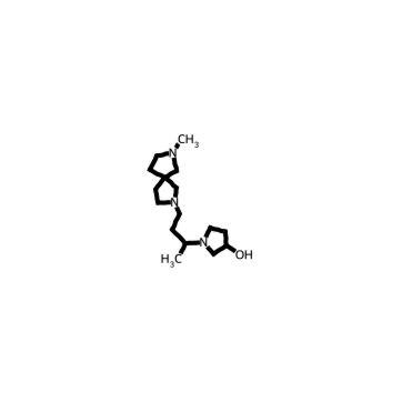 CC(CCN1CCC2(CCN(C)C2)C1)N1CCC(O)C1